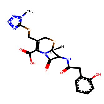 Cn1nnnc1SCC1=C(C(=O)O)N2C(=O)C(NC(=O)Cc3ccccc3O)[C@H]2SC1